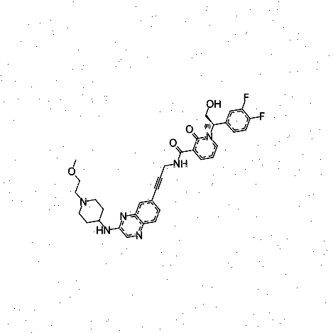 COCCN1CCC(Nc2cnc3ccc(C#CCNC(=O)c4cccn([C@@H](CO)c5ccc(F)c(F)c5)c4=O)cc3n2)CC1